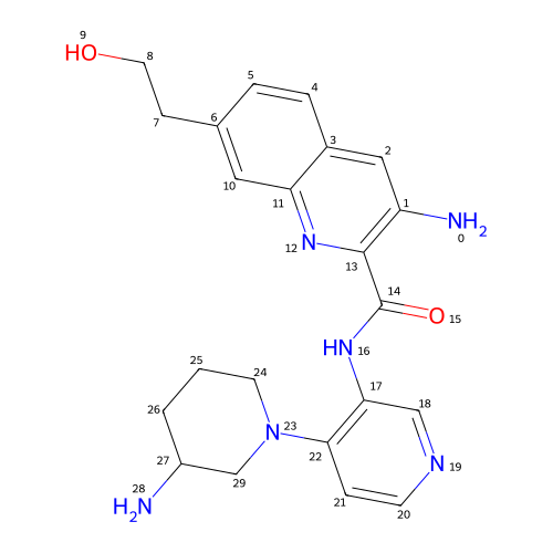 Nc1cc2ccc(CCO)cc2nc1C(=O)Nc1cnccc1N1CCCC(N)C1